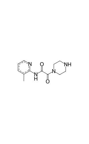 Cc1cccnc1NC(=O)C(=O)N1CCNCC1